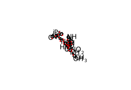 CC(C)c1ccccc1[C@H]1CC[C@@H](N2CCOCC2)CN1C1CC2(CCN(c3ccc(C(=O)NS(=O)(=O)c4ccc(NCC5CCC(C)(O)CC5)c([N+](=O)[O-])c4)c(N4c5cc6cc[nH]c6nc5O[C@H]5COCC[C@@H]54)c3)CC2)C1